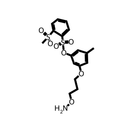 Cc1cc(OCCCON)cc(OS(=O)(=O)c2ccccc2S(C)(=O)=O)c1